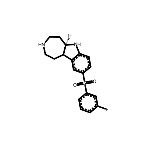 O=S(=O)(c1cccc(F)c1)c1ccc2c(c1)C1CCNCC[C@H]1N2